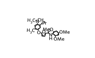 COc1cc(OC)c(NC(=O)c2ccc(Oc3cc(C(C)C)c(N(C)C)cc3C)o2)c(OC)c1